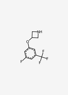 Fc1cc(OC2CNC2)cc(C(F)(F)F)c1